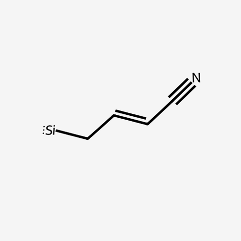 N#CC=CC[Si]